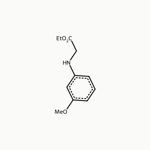 CCOC(=O)CNc1cccc(OC)c1